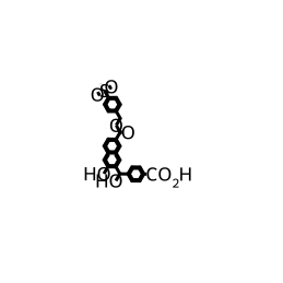 CS(=O)(=O)c1ccc(COC(=O)c2ccc3cc(O)c(C(O)c4ccc(C(=O)O)cc4)cc3c2)cc1